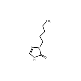 CCCCCn1nc[nH]c1=O